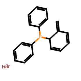 Br.C=C1C=CC=CC1P(c1ccccc1)c1ccccc1